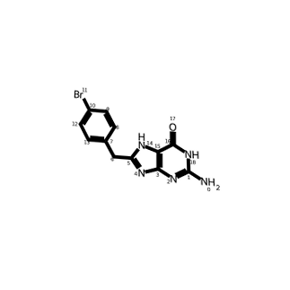 Nc1nc2nc(Cc3ccc(Br)cc3)[nH]c2c(=O)[nH]1